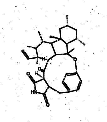 C=C[C@@]1(C)C(C)C(C)C2C3[C@H]1C(=O)[C@@H]1C(=O)NC(=O)C1Cc1ccc(cc1)OC3(C)C1[C@@H](C)C[C@@H](C)C[C@@]21C